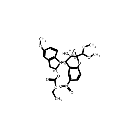 CCOC(=O)O[C@@H]1Cc2cc(OC)ccc2N1[C@@H]1c2cc([N+](=O)[O-])ccc2O[C@@](C)(C(OC)OC)[C@H]1O